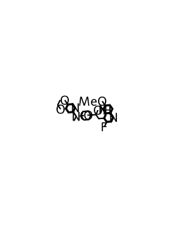 COc1ccc2ncc(F)c(CC(O)C34CCC(N(C)c5cc6c(cn5)OCCO6)(CC3)CO4)c2n1